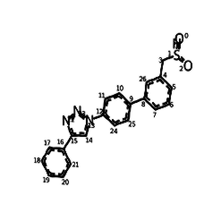 O=[SH](=O)Cc1cccc(-c2ccc(-n3cc(-c4ccccc4)nn3)cc2)c1